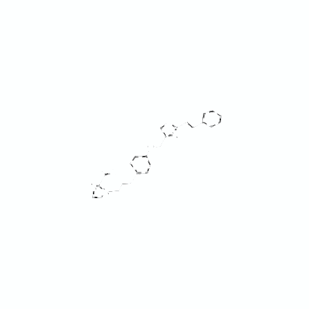 O=C(O)c1nccn1CCCc1ccc(OCc2coc(C=Cc3ccccc3)n2)cc1